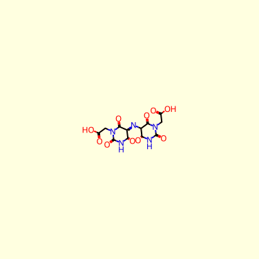 O=C(O)CN1C(=O)NC(=O)C(=NC2C(=O)NC(=O)N(CC(=O)O)C2=O)C1=O